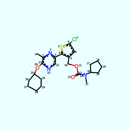 Cc1nc(-c2sc(Cl)cc2COC(=O)N(C)C2CCCC2)cnc1OC1CCCCC1